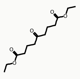 CCOC(=O)CCCC(=O)CCCC(=O)OCC